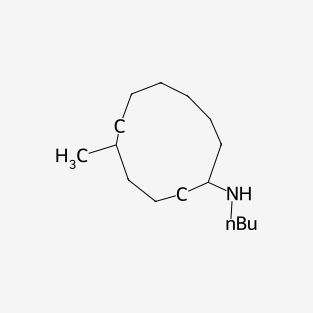 CCCCNC1CCCCCCC(C)CCC1